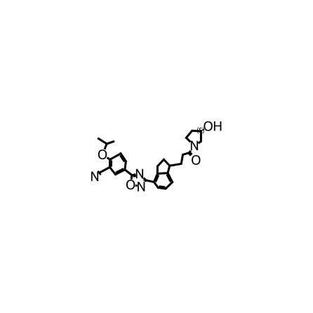 CC(C)Oc1ccc(-c2nc(-c3cccc4c3CCC4CCC(=O)N3CC[C@H](O)C3)no2)cc1C#N